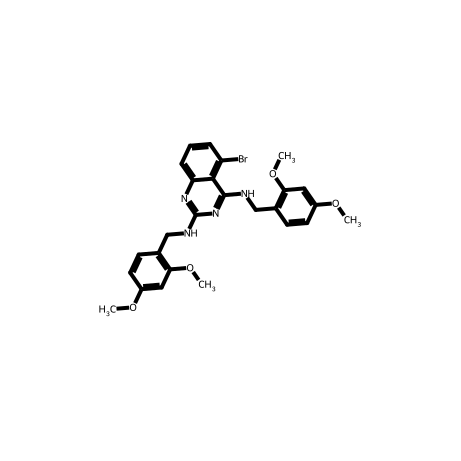 COc1ccc(CNc2nc(NCc3ccc(OC)cc3OC)c3c(Br)cccc3n2)c(OC)c1